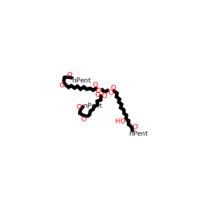 CCCCCC1OC1CCC(O)CCCCCCCCCC(=O)OCC(COC(=O)CCCCCCCCCC1OC1CC1OC1CCCCC)OC(=O)CCCCCCCC1OC1CC1OC1CCCCC